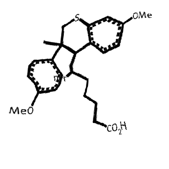 CCCC(CCCCC(=O)O)C1c2ccc(OC)cc2SCC1(C)c1ccc(OC)cc1